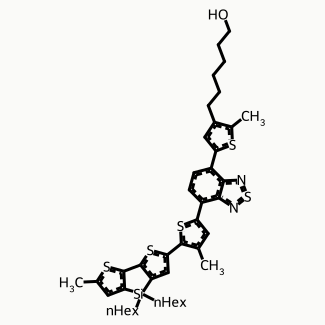 CCCCCC[Si]1(CCCCCC)c2cc(C)sc2-c2sc(-c3sc(-c4ccc(-c5cc(CCCCCCO)c(C)s5)c5nsnc45)cc3C)cc21